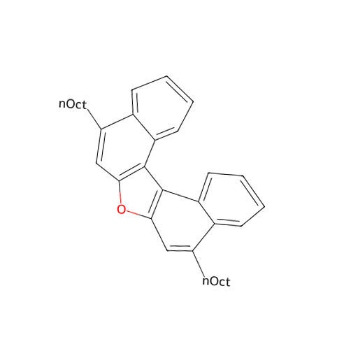 CCCCCCCCc1cc2oc3cc(CCCCCCCC)c4ccccc4c3c2c2ccccc12